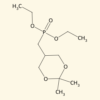 CCOP(=O)(CC1COC(C)(C)OC1)OCC